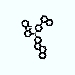 c1ccc2c(-c3ccc(N(c4ccc5c(ccc6c7ccccc7ccc56)c4)c4cccc5c4oc4ccccc45)cc3)cccc2c1